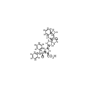 O=C(O)[C@@H]1C[C@H](N2CCC3(CCOC(=C4CCC4)N3Cc3ccccc3)C2)CN1C(=O)C(c1ccccc1)c1ccccc1